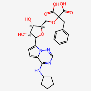 O=C(O)C(Cc1ccccc1)(OC[C@H]1OC(c2ccc3c(NC4CCCC4)ncnn23)[C@H](O)[C@@H]1O)C(=O)O